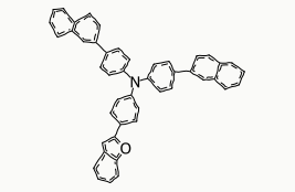 c1ccc2cc(-c3ccc(N(c4ccc(-c5ccc6ccccc6c5)cc4)c4ccc(-c5cc6ccccc6o5)cc4)cc3)ccc2c1